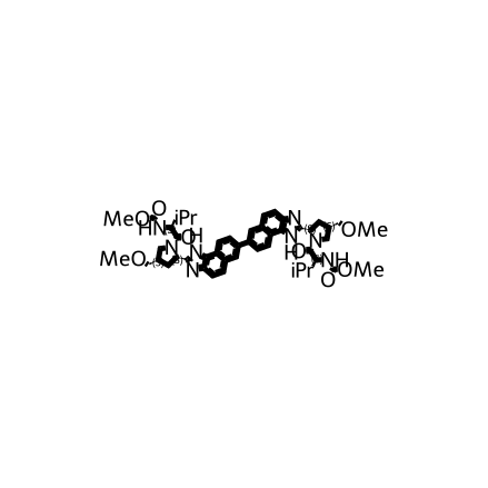 COC[C@H]1C[C@@H](c2nc3ccc4cc(-c5ccc6c(ccc7nc([C@@H]8C[C@H](COC)CN8C(=O)[C@@H](NC(=O)OC)C(C)C)[nH]c76)c5)ccc4c3[nH]2)N(C(=O)[C@@H](NC(=O)OC)C(C)C)C1